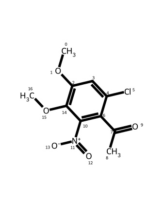 COc1cc(Cl)c(C(C)=O)c([N+](=O)[O-])c1OC